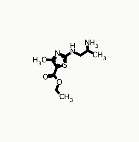 CCOC(=O)c1sc(NCC(C)N)nc1C